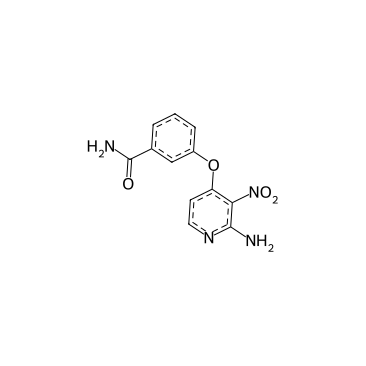 NC(=O)c1cccc(Oc2ccnc(N)c2[N+](=O)[O-])c1